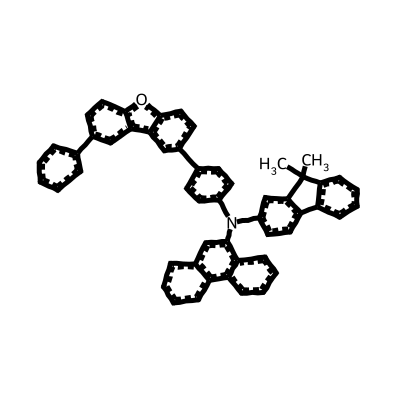 CC1(C)c2ccccc2-c2ccc(N(c3ccc(-c4ccc5oc6ccc(-c7ccccc7)cc6c5c4)cc3)c3cc4ccccc4c4ccccc34)cc21